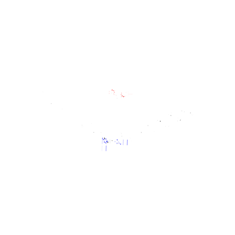 CCCCCCCCCCCC[NH][Ni][NH]CCCCCCCCCCCC.O=CO